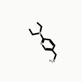 CCN(CC)c1ccc(CN)cn1